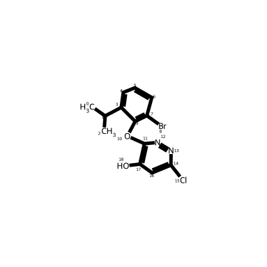 CC(C)c1cccc(Br)c1Oc1nnc(Cl)cc1O